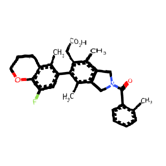 Cc1ccccc1C(=O)N1Cc2c(C)c(CC(=O)O)c(-c3cc(F)c4c(c3C)CCCO4)c(C)c2C1